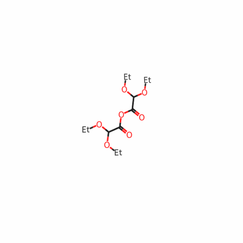 CCOC(OCC)C(=O)OC(=O)C(OCC)OCC